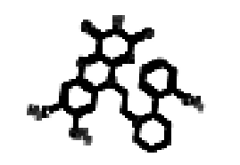 Cc1cc2nc3c(=O)[nH]c(=O)nc-3n(CCN3CCCCC3c3ccccc3C)c2cc1C